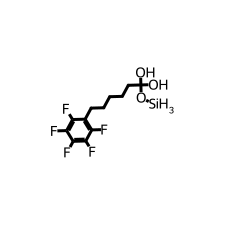 OC(O)(CCCCCc1c(F)c(F)c(F)c(F)c1F)O[SiH3]